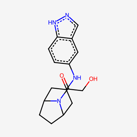 O=C(CO)N1C2CCC1CC(Nc1ccc3[nH]ncc3c1)C2